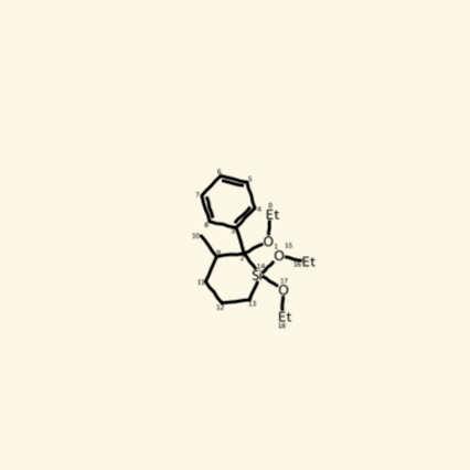 CCOC1(c2ccccc2)C(C)CCC[Si]1(OCC)OCC